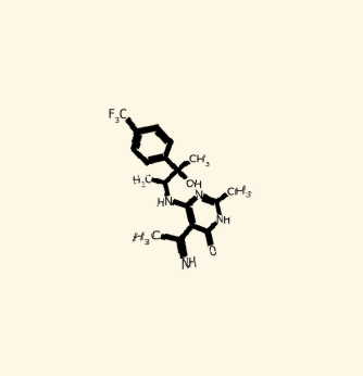 CC(=N)c1c(NC(C)C(C)(O)c2ccc(C(F)(F)F)cc2)nc(C)[nH]c1=O